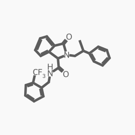 CC(CN1C(=O)c2ccccc2C1C(=O)NCc1ccccc1C(F)(F)F)c1ccccc1